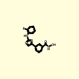 O=C(NO)c1cccc(-c2csc(Nc3ccccc3F)n2)c1